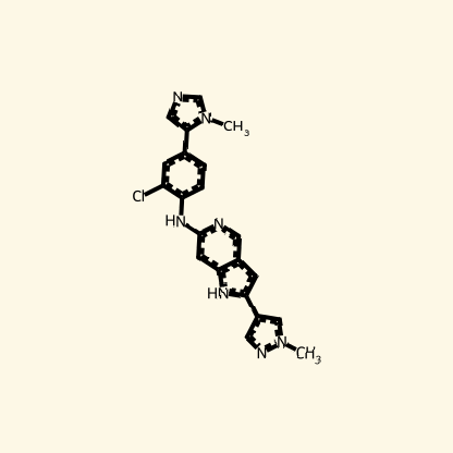 Cn1cc(-c2cc3cnc(Nc4ccc(-c5cncn5C)cc4Cl)cc3[nH]2)cn1